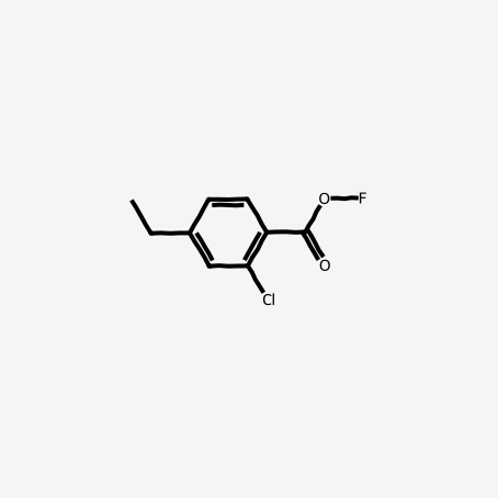 CCc1ccc(C(=O)OF)c(Cl)c1